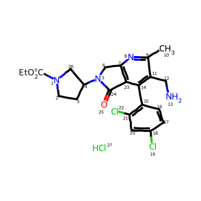 CCOC(=O)N1CCC(N2Cc3nc(C)c(CN)c(-c4ccc(Cl)cc4Cl)c3C2=O)C1.Cl